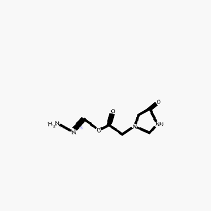 N/N=C/OC(=O)CN1CNC(=O)C1